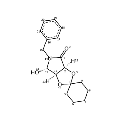 O=C1[C@H]2OC3(CCCCC3)O[C@H]2[C@H](O)N1Cc1ccccc1